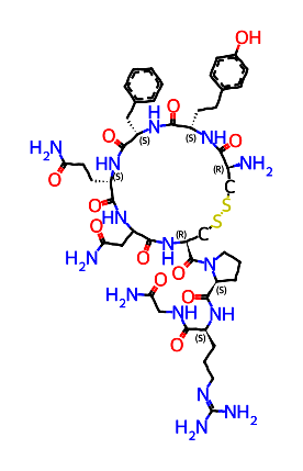 NC(=O)CC[C@@H]1NC(=O)[C@H](Cc2ccccc2)NC(=O)[C@H](CCc2ccc(O)cc2)NC(=O)[C@@H](N)CSSC[C@@H](C(=O)N2CCC[C@H]2C(=O)N[C@@H](CCCN=C(N)N)C(=O)NCC(N)=O)NC(=O)C(CC(N)=O)NC1=O